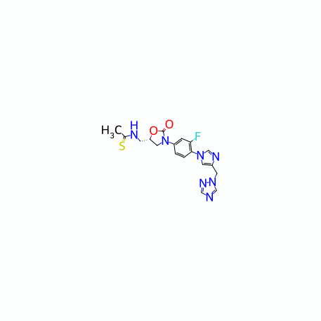 CC(=S)NC[C@H]1CN(c2ccc(-n3cnc(Cn4cncn4)c3)c(F)c2)C(=O)O1